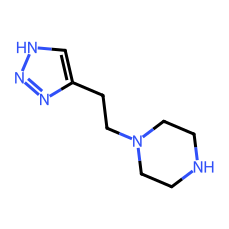 c1[nH]nnc1CCN1CCNCC1